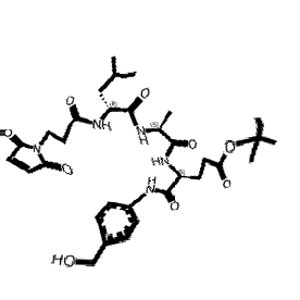 CC(C)C[C@@H](NC(=O)CCN1C(=O)C=CC1=O)C(=O)N[C@@H](C)C(=O)N[C@@H](CCC(=O)OC(C)(C)C)C(=O)Nc1ccc(CO)cc1